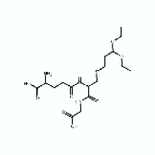 CCOC(CCSCC(NC(=O)CCC(N)C(=O)O)C(=O)NCC(=O)O)OCC